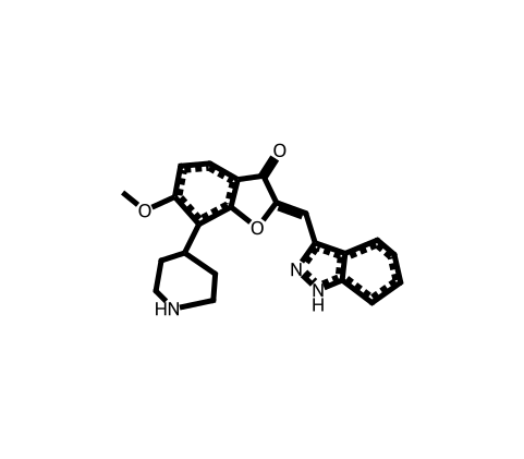 COc1ccc2c(c1C1CCNCC1)OC(=Cc1n[nH]c3ccccc13)C2=O